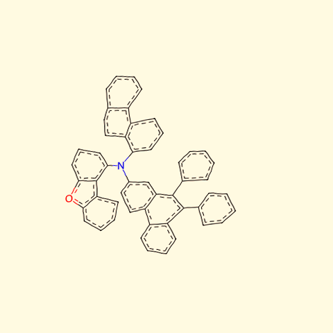 c1ccc(-c2c(-c3ccccc3)c3cc(N(c4cccc5c4ccc4ccccc45)c4cccc5oc6ccccc6c45)ccc3c3ccccc23)cc1